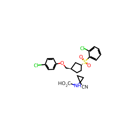 N#CC1(NC(=O)O)CC1.O=S(=O)(c1ccccc1Cl)[C@@H]1CC[C@@H](COc2ccc(Cl)cc2)C1